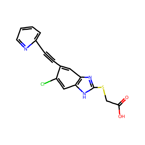 O=C(O)CSc1nc2cc(C#Cc3ccccn3)c(Cl)cc2[nH]1